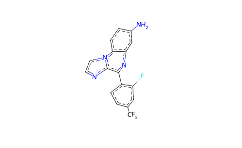 Nc1ccc2c(c1)nc(-c1ccc(C(F)(F)F)cc1F)c1nccn12